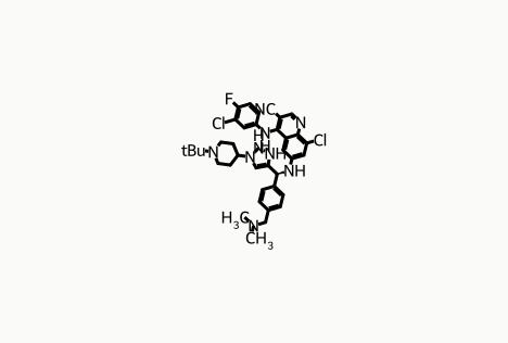 CN(C)Cc1ccc([C@H](Nc2cc(Cl)c3ncc(C#N)c(Nc4ccc(F)c(Cl)c4)c3c2)C2=CN(C3CCN(C(C)(C)C)CC3)NN2)cc1